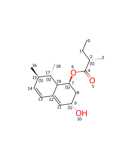 CC[C@H](C)C(=O)O[C@H]1C[C@H](O)C=C2C=C[C@@H](C)[C@H](C)C21